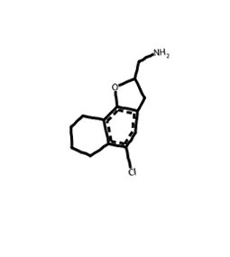 NCC1Cc2cc(Cl)c3c(c2O1)CCCC3